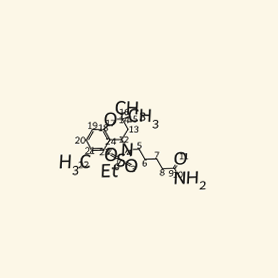 CCS(=O)(=O)N(CCCCC(N)=O)C1CC(C)(C)Oc2ccc(C)cc21